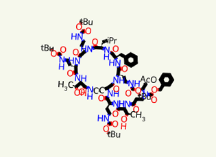 CC(=O)OCCN(CCC(=O)N[C@H](C(=O)N[C@@H](CCNC(=O)OC(C)(C)C)C(=O)N[C@H]1CCNC(=O)[C@H]([C@@H](C)O)NC(=O)[C@H](CCNC(=O)OC(C)(C)C)NC(=O)[C@H](CCNC(=O)OC(C)(C)C)NC(=O)[C@H](CC(C)C)NC(=O)[C@@H](Cc2ccccc2)NC(=O)[C@H](CCNC(=O)OC(C)(C)C)NC1=O)[C@@H](C)O)C(=O)OCc1ccccc1